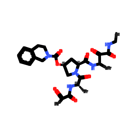 CCCC(NC(=O)[C@@H]1C[C@@H](OC(=O)N2CCc3ccccc3C2)CN1C(=O)[C@@H](NC(=O)C(=O)C(C)C)C(C)C)C(=O)C(=O)NCC(C)=O